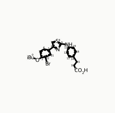 CCC(C)Oc1ccc(-c2csc(Nc3ccc(CCC(=O)O)cc3)n2)cc1Br